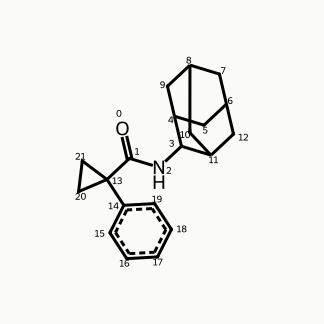 O=C(NC1C2CC3CC(C2)CC1C3)C1(c2ccccc2)CC1